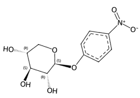 O=[N+]([O-])c1ccc(O[C@@H]2OC[C@@H](O)[C@H](O)[C@H]2O)cc1